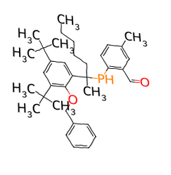 CCCCCC(C)(Pc1ccc(C)cc1C=O)c1cc(C(C)(C)C)cc(C(C)(C)C)c1OCc1ccccc1